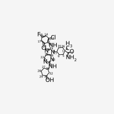 C[C@]1(C(N)=O)CC[C@@H](n2c(Nc3c(Cl)cc(F)cc3Cl)nc3cnc(N[C@@H]4CCCC(O)C4)nc32)CC1